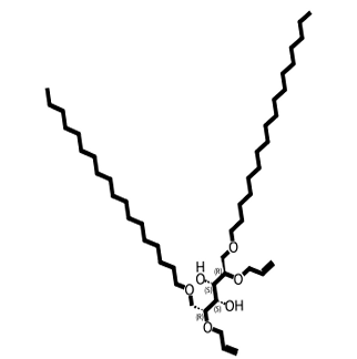 C=CCO[C@H](COCCCCCCCCCCCCCCCCCC)[C@@H](O)[C@H](O)[C@@H](COCCCCCCCCCCCCCCCCCC)OCC=C